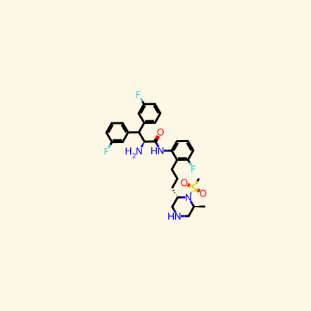 C[C@H]1CNC[C@H](CCCc2c(F)cccc2NC(=O)[C@@H](N)C(c2cccc(F)c2)c2cccc(F)c2)N1S(C)(=O)=O